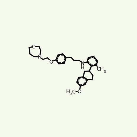 COc1ccc2c(c1)CCC(c1c(C)cccc1NCCCc1ccc(OCCN3CCCCCC3)cc1)C2